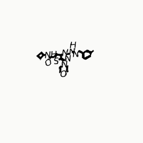 Cc1cccc(/C=N/Nc2nc(N3CCOCC3)c3sc(C(=O)NC4CCC4)cc3n2)c1